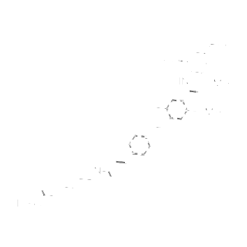 COc1cc(OCc2ccc(/C=C/C(=O)NCCCCCC(=O)OC(C)(C)C)cc2)c(Cl)cc1C(=O)N[C@H]1[C@@H](OC)O[C@H](CO)[C@@H](O)[C@@H]1O